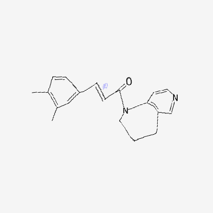 Cc1ccc(/C=C/C(=O)N2CCCc3cnccc32)cc1C